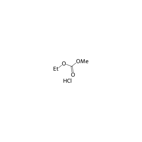 CCOC(=O)OC.Cl